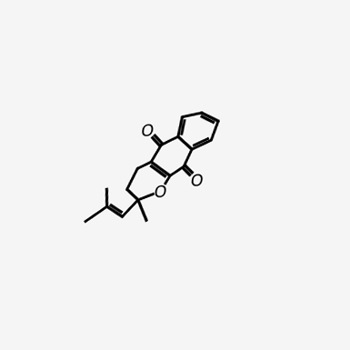 CC(C)=CC1(C)CCC2=C(O1)C(=O)c1ccccc1C2=O